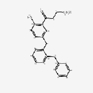 CCOC(=O)CCC(=O)c1nc(Cc2ccccc2Cc2ccccc2)ccc1O